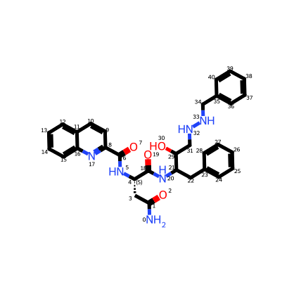 NC(=O)C[C@H](NC(=O)c1ccc2ccccc2n1)C(=O)NC(Cc1ccccc1)C(O)CNNCc1ccccc1